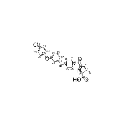 Cc1cn(C(=O)N2CCN(Cc3cccc(Oc4ccc(Cl)cc4)c3)CC2)nc1C(=O)O